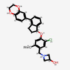 COc1cc(O[C@H]2CCc3c(-c4ccc5c(c4)OCCO5)cccc32)c(Cl)cc1CN1CC(O)C1